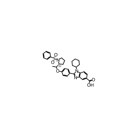 CC(Oc1ccc(-c2nc3cc(C(=O)O)ccc3n2C2CCCCC2)cc1)[C@@H]1CCCN1S(=O)(=O)c1ccccc1